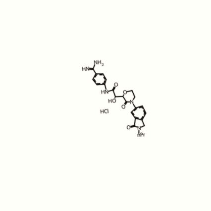 CCCN1Cc2ccc(N3CCO[C@H]([C@@H](O)C(=O)Nc4ccc(C(=N)N)cc4)C3=O)cc2C1=O.Cl